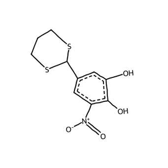 O=[N+]([O-])c1cc(C2SCCCS2)cc(O)c1O